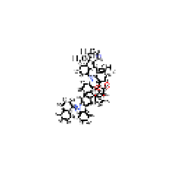 C=CC1=C(/C=C\C)C(C)(C)c2cccc(N(c3cccc4c3oc3ccccc34)c3cccc4oc5ccc(-c6ccc7c(c6)c6ccccc6n7-c6cccc7ccccc67)cc5c34)c21